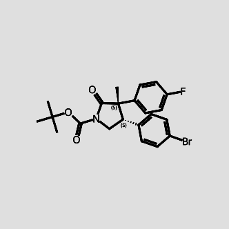 CC(C)(C)OC(=O)N1C[C@@H](c2ccc(Br)cc2)[C@@](C)(c2ccc(F)cc2)C1=O